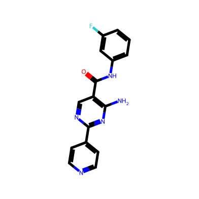 Nc1nc(-c2ccncc2)ncc1C(=O)Nc1cccc(F)c1